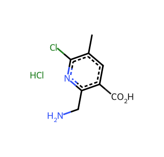 Cc1cc(C(=O)O)c(CN)nc1Cl.Cl